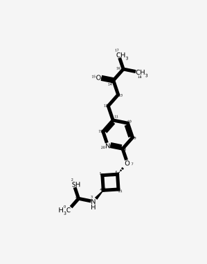 CC(S)N[C@H]1C[C@H](Oc2ccc(CCC(=O)C(C)C)cn2)C1